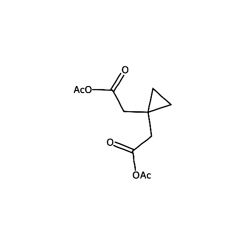 CC(=O)OC(=O)CC1(CC(=O)OC(C)=O)CC1